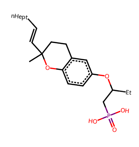 CCCCCCCC=CC1(C)CCc2cc(OC(CC)CP(=O)(O)O)ccc2O1